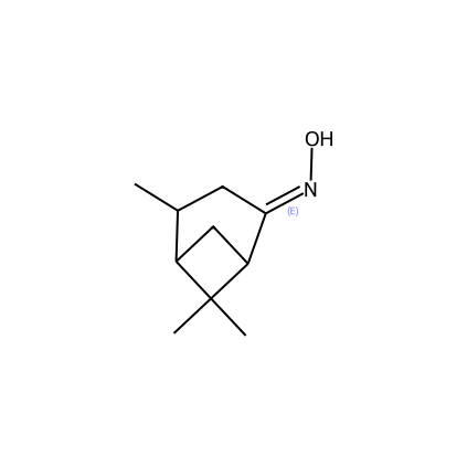 CC1C/C(=N\O)C2CC1C2(C)C